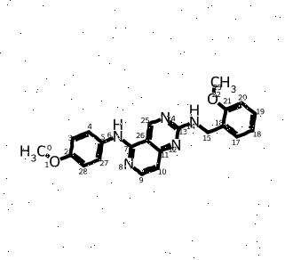 COc1ccc(Nc2nccc3nc(NCc4ccccc4OC)ncc23)cc1